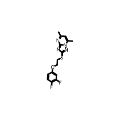 Cc1cc(C)n2nc(SCCOc3ccc(F)c(F)c3)nc2n1